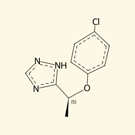 C[C@H](Oc1ccc(Cl)cc1)c1ncn[nH]1